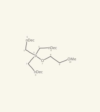 CCCCCCCCCCC[Si](CCCCCCCCCCC)(CCCCCCCCCCC)OCCOC